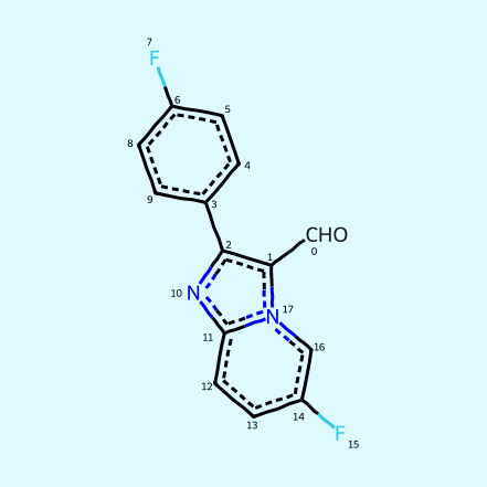 O=Cc1c(-c2ccc(F)cc2)nc2ccc(F)cn12